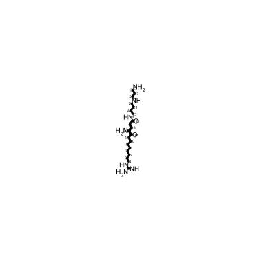 N=C(N)NCCCCCCCCC(=O)C(N)CCC(=O)NCCCCNCCCN